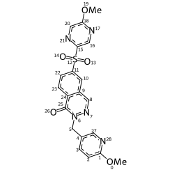 COc1ccc(Cn2ncc3cc(S(=O)(=O)c4cnc(OC)cn4)ccc3c2=O)cn1